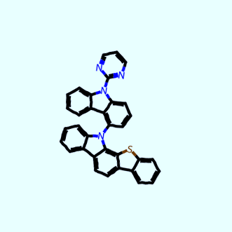 c1cnc(-n2c3ccccc3c3c(-n4c5ccccc5c5ccc6c7ccccc7sc6c54)cccc32)nc1